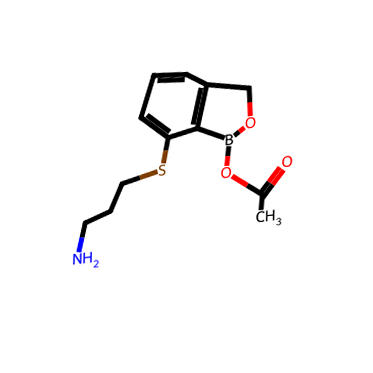 CC(=O)OB1OCc2cccc(SCCCN)c21